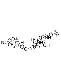 Cc1ncsc1-c1ccc([C@H](C)NC(=O)[C@@H]2C[C@@H](O)CN2C(=O)[C@@H](NC(=O)C(=O)N2CCN(CCOc3ccc(C(=O)N[C@H]4C(C)(C)[C@H](Oc5ccc(C#N)c(C(F)(F)F)c5)C4(C)C)cc3)CC2)C(C)(C)C)cc1